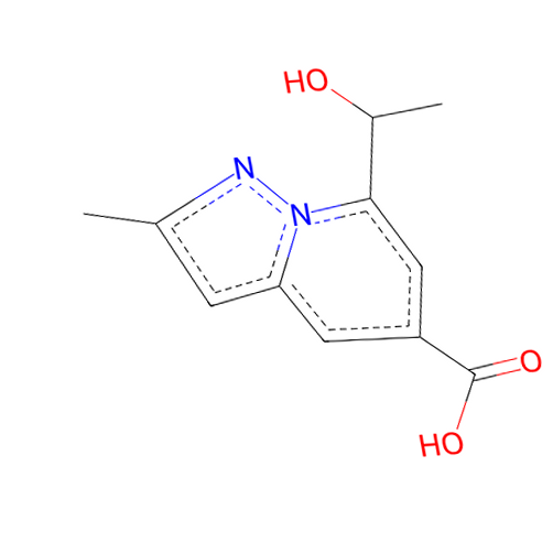 Cc1cc2cc(C(=O)O)cc(C(C)O)n2n1